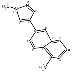 Cn1cc(-c2ccc3c(N)cccc3c2)cn1